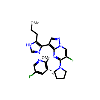 COCCc1[nH]cnc1-c1cnn2cc(F)c(N3CCC[C@@H]3c3cc(F)cnc3OC)nc12